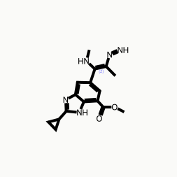 CN/C(=C(/C)N=N)c1cc(C(=O)OC)c2[nH]c(C3CC3)nc2c1